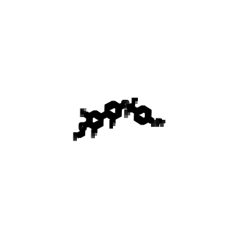 CCCc1ccc(C(F)(F)Oc2ccc(-c3cc(F)c(OCF)c(F)c3)c(F)c2)cc1